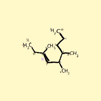 [CH2]CCC(C)C(C)/C=C(\C)C[CH2]